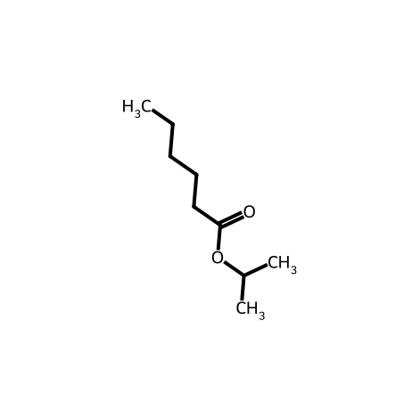 CCCCCC(=O)OC(C)C